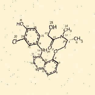 C[C@H](COc1cccc2ncnc(Nc3ccc(O)c(Cl)c3)c12)N(C)C(=O)CO